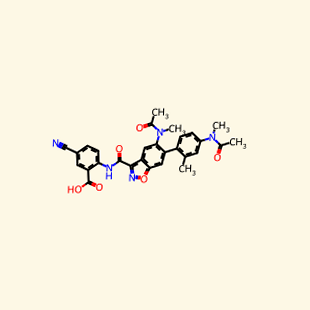 CC(=O)N(C)c1ccc(-c2cc3onc(C(=O)Nc4ccc(C#N)cc4C(=O)O)c3cc2N(C)C(C)=O)c(C)c1